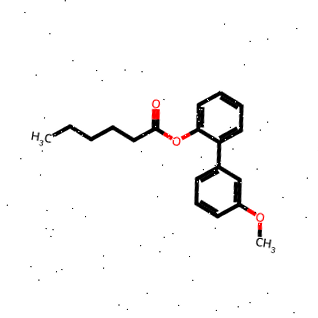 CCCCCC(=O)Oc1ccccc1-c1cccc(OC)c1